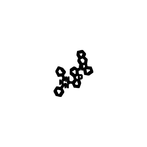 C1=CC(c2nc(-c3ccccc3)nc(-c3cccc4oc5c(-n6c7ccccc7c7cc8ccccc8cc76)cccc5c34)n2)=CCC1